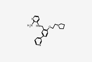 Nc1ncccc1NCc1cc(-c2cccnc2)ccc1OCCN1CCCC1